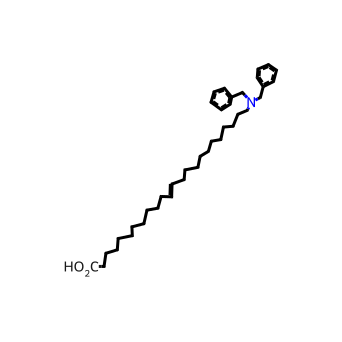 O=C(O)CCCCCCCCCCC=CCCCCCCCCCCCN(Cc1ccccc1)Cc1ccccc1